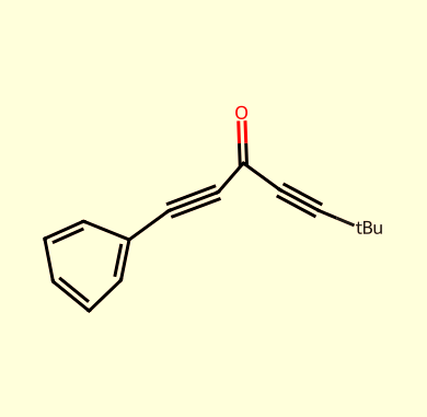 CC(C)(C)C#CC(=O)C#Cc1ccccc1